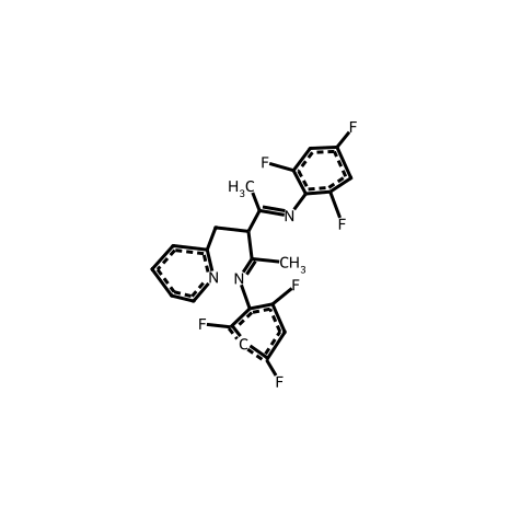 C/C(=N\c1c(F)cc(F)cc1F)C(Cc1ccccn1)/C(C)=N/c1c(F)cc(F)cc1F